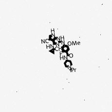 COc1cc(C(=O)NC2CCN(C(C)C)CC2)c(F)cc1Nc1nc(NC2(C)CC2)c2c(C#N)c[nH]c2n1